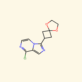 Clc1nccn2c(C3CC4(C3)OCCO4)ncc12